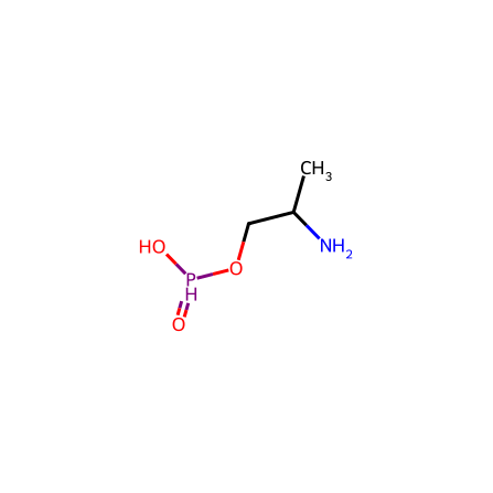 CC(N)CO[PH](=O)O